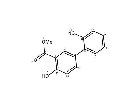 COC(=O)c1cc(-c2ccccc2C#N)ccc1O